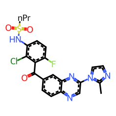 CCCS(=O)(=O)Nc1ccc(F)c(C(=O)c2ccc3ncc(-n4ccnc4C)nc3c2)c1Cl